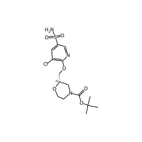 CC(C)(C)OC(=O)N1CCO[C@H](COc2ncc(S(N)(=O)=O)cc2Cl)C1